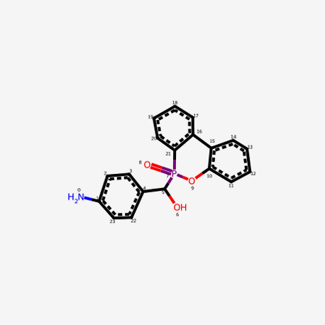 Nc1ccc(C(O)P2(=O)Oc3ccccc3-c3ccccc32)cc1